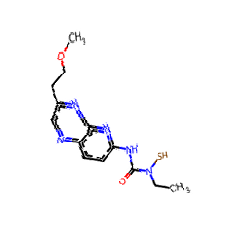 CCN(S)C(=O)Nc1ccc2ncc(CCOC)nc2n1